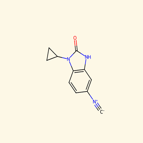 [C-]#[N+]c1ccc2c(c1)[nH]c(=O)n2C1CC1